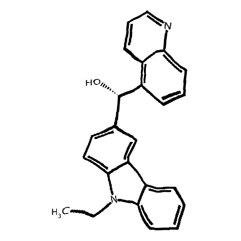 CCn1c2ccccc2c2cc([C@H](O)c3cccc4ncccc34)ccc21